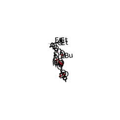 C=C(Br)C[C@@H](CC[C@@]12CC3OC4[C@@H](O1)C1O[C@@H](CC(=O)C[C@H]5C(C[C@H]6O[C@@H](CCCO[Si](CC)(CC)CC)C[C@@H](C)C6=C)O[C@H](C[C@H](C)CO[Si](C)(C)C(C)(C)C)[C@@H]5C)CC[C@@H]1O[C@H]4[C@H]3O2)OS(=O)(=O)c1ccc(C)cc1